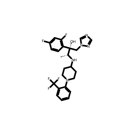 C[C@@H](NC1CCN(c2ccccc2C(F)(F)F)CC1)[C@](O)(Cn1cncn1)c1ccc(F)cc1F